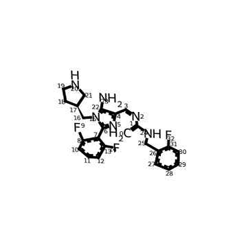 C=C(/N=C\c1nc(-c2c(F)cccc2F)n(C[C@H]2CCNC2)c1N)NCc1ccccc1F